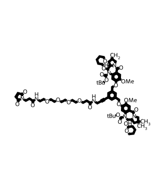 C=C1C[C@H]2C(OC3CCCCO3)N(C(=O)OC(C)(C)C)c3cc(OCc4cc(C#CCNC(=O)CCOCCOCCOCCOCCNC(=O)CCN5C(=O)C=CC5=O)cc(COc5cc6c(cc5OC)C(=O)N5CC(C)(C)C[C@H]5[C@H](OC5CCCCO5)N6C(=O)OC(C)(C)C)c4)c(OC)cc3C(=O)N2C1